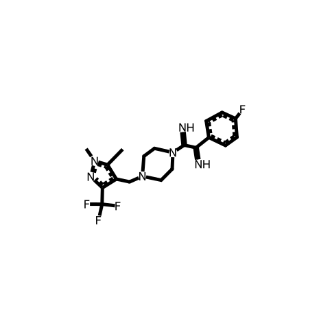 Cc1c(CN2CCN(C(=N)C(=N)c3ccc(F)cc3)CC2)c(C(F)(F)F)nn1C